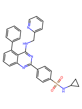 O=S(=O)(NC1CC1)c1ccc(-c2nc(NCc3ccccn3)c3c(-c4ccccc4)cccc3n2)cc1